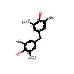 CCCCc1cc(Cc2cc(CCCC)c(O)c(C(=O)O)c2)cc(C(=O)O)c1O